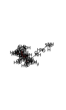 COC1C(OC)[C@H](O[C@H]2O[C@@H](COS(=O)(=O)O)[C@@H](O[C@@H]3OC(C(=O)O)[C@@H](O[C@H]4OC(COS(=O)(=O)O)[C@@H](OC)[C@H](OC)C4NC(=O)CCCCCNC(=O)CCCCCNC(=O)CCCCC4SCC5NC(=O)NC54)[C@H](OC)C3OC)C(OSOOO)C2OSOOO)[C@H](C(=O)O)O[C@H]1O[C@@H]1C(COS(=O)(=O)O)O[C@H](OC)C(OSOOO)[C@H]1OSOOO